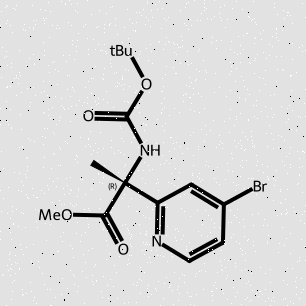 COC(=O)[C@](C)(NC(=O)OC(C)(C)C)c1cc(Br)ccn1